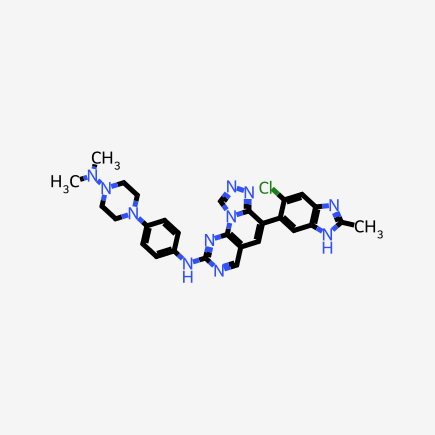 Cc1nc2cc(Cl)c(-c3cc4cnc(Nc5ccc(N6CCN(N(C)C)CC6)cc5)nc4n4cnnc34)cc2[nH]1